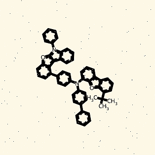 CC(C)(C)c1cccc2c1oc1c(N(c3ccc(-c4ccccc4)cc3)c3ccc(-c4cccc5oc6c(c7ccccc7n6-c6ccccc6)c45)cc3)cccc12